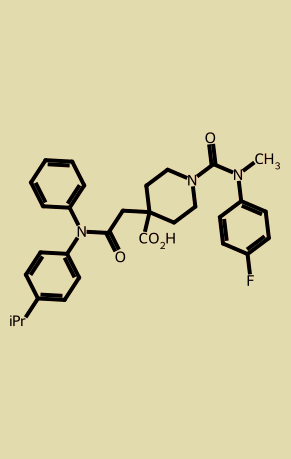 CC(C)c1ccc(N(C(=O)CC2(C(=O)O)CCN(C(=O)N(C)c3ccc(F)cc3)CC2)c2ccccc2)cc1